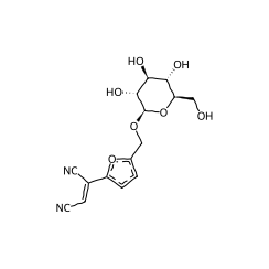 N#CC=C(C#N)c1ccc(CO[C@@H]2O[C@H](CO)[C@@H](O)[C@H](O)[C@H]2O)o1